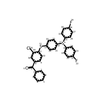 O=C(c1ccccc1)c1ccc(Sc2ccc([S+](c3ccc(F)cc3)c3ccc(F)cc3)cc2)c(Cl)c1